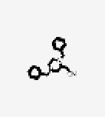 N#CCC1CN(Cc2ccccc2)CCN1Cc1ccccc1